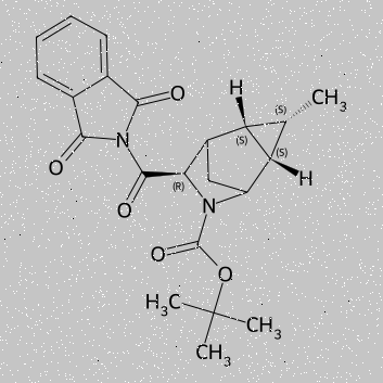 C[C@H]1[C@H]2C3CC([C@@H]12)N(C(=O)OC(C)(C)C)[C@H]3C(=O)N1C(=O)c2ccccc2C1=O